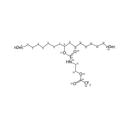 CCCCCCCCCCCCCCCCCC(CCCCCCCCCCCCCCCCC)OC(=O)NCCOC(=O)C(F)(F)F